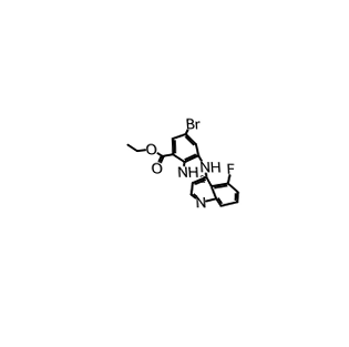 CCOC(=O)c1cc(Br)cc(Nc2ccnc3cccc(F)c23)c1N